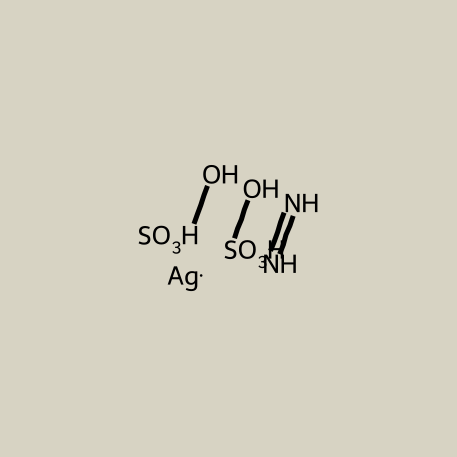 N=N.O=S(=O)(O)O.O=S(=O)(O)O.[Ag]